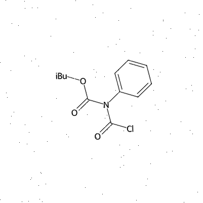 CCC(C)OC(=O)N(C(=O)Cl)c1ccccc1